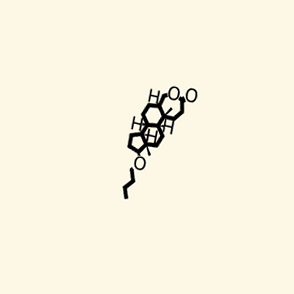 CCCCO[C@H]1CC[C@H]2[C@@H]3CC[C@H]4COC(=O)CC[C@]4(C)[C@H]3CC[C@]12C